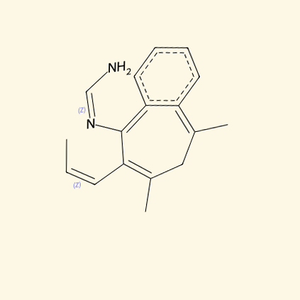 C/C=C\C1=C(C)CC(C)=c2ccccc2=C1/N=C\N